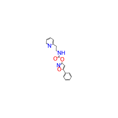 O=C(NCCc1ccccn1)Oc1cc(-c2ccccc2)on1